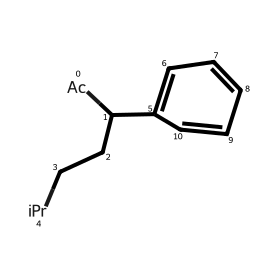 CC(=O)C(CCC(C)C)c1ccccc1